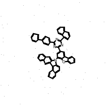 c1ccc(-c2ccc(-c3nc(-c4cc(-n5c6cc7ccccc7cc6c6c7ccccc7ccc65)c5oc6ccccc6c5c4)nc(-c4cccc5ccccc45)n3)cc2)cc1